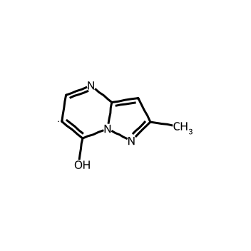 Cc1cc2nc[c]c(O)n2n1